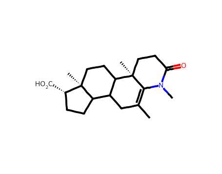 CC1=C2N(C)C(=O)CC[C@]2(C)C2CC[C@@]3(C)C(CC[C@@H]3C(=O)O)C2C1